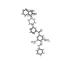 Cc1cc(C(=O)c2cc(N3CCC(n4c(=O)[nH]c5ncccc54)CC3)ncn2)cc(C)c1OCc1ccccc1